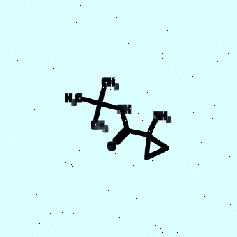 CC(C)(C)NC(=O)C1(N)CC1